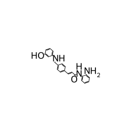 Nc1ccccc1NC(=O)/C=C/c1ccc(CNc2cccc(O)c2)cc1